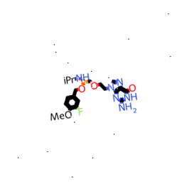 COc1ccc(COP(COCCn2cnc3c(=O)[nH]c(N)nc32)NC(C)C)cc1F